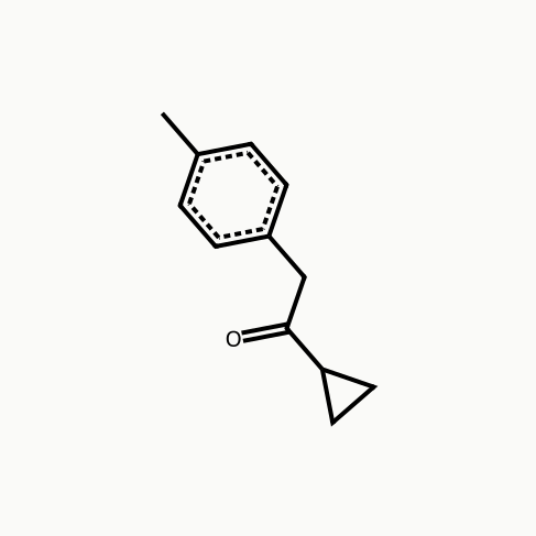 Cc1ccc(CC(=O)C2CC2)cc1